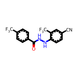 N#Cc1ccc(NNC(=O)c2ccc(C(F)(F)F)cc2)c(C(F)(F)F)c1